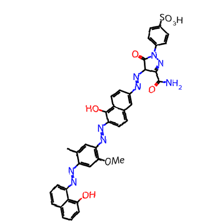 COc1cc(/N=N/c2cccc3cccc(O)c23)c(C)cc1/N=N/c1ccc2cc(/N=N/C3C(=O)N(c4ccc(S(=O)(=O)O)cc4)N=C3C(N)=O)ccc2c1O